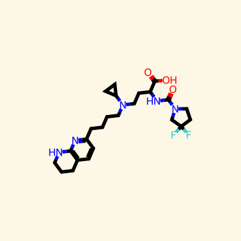 O=C(O)C(CCN(CCCCc1ccc2c(n1)NCCC2)C1CC1)NC(=O)N1CCC(F)(F)C1